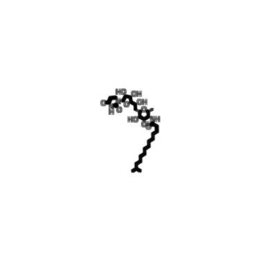 CC(C)CCCCCCCCC/C=C\C(=O)N[C@@H]1[C@@H](O)[C@@H](O)[C@@H](C[C@@H](O)[C@H]2O[C@@H](n3ccc(=O)[nH]c3=O)[C@H](O)[C@@H]2O)O[C@H]1C